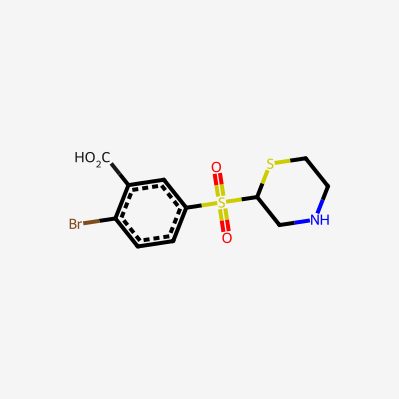 O=C(O)c1cc(S(=O)(=O)C2CNCCS2)ccc1Br